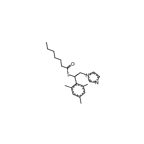 CCCCCCC(=O)SC(Cn1ccnc1)c1c(C)cc(C)cc1C